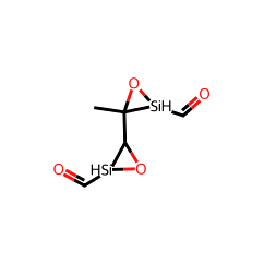 CC1(C2O[SiH]2C=O)O[SiH]1C=O